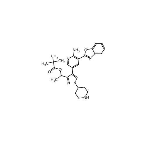 CC(OC(=O)C(C)(C)C)c1nn(C2CCNCC2)cc1-c1cnc(N)c(-c2nc3ccccc3o2)c1